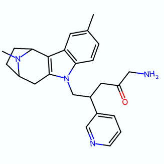 Cc1ccc2c(c1)c1c(n2CC(CC(=O)CN)c2cccnc2)CC2CCC1N2C